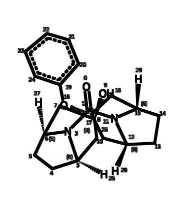 O=C(N1[C@@H]2CC[C@H]1C[C@@H](O)C2)N1[C@@H]2CC[C@H]1C[C@@H](Oc1ccccc1)C2